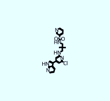 CC(C)(CNc1cc(-c2c[nH]c3ncccc23)cc(Cl)n1)CNS(=O)(=O)c1cccnc1